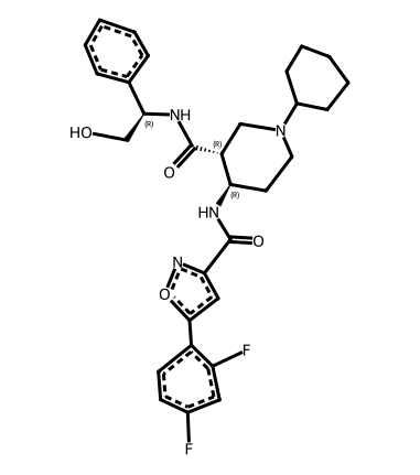 O=C(N[C@@H]1CCN(C2CCCCC2)C[C@H]1C(=O)N[C@@H](CO)c1ccccc1)c1cc(-c2ccc(F)cc2F)on1